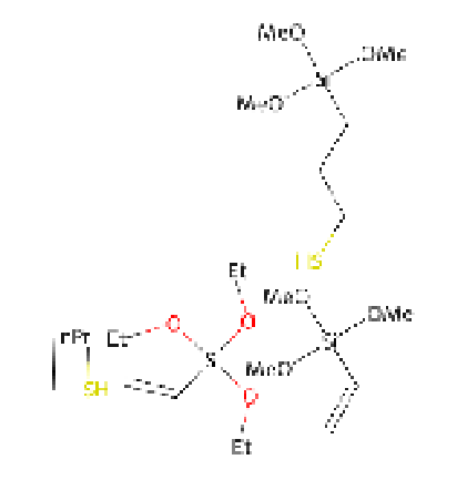 C=C[Si](OC)(OC)OC.C=C[Si](OCC)(OCC)OCC.CC.CO[Si](CCCS)(OC)OC.[CH2]CCS